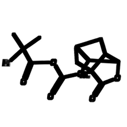 CCC(C)(C)C(=O)OC(=O)OC1C2CC3C1OC(=O)C3(C#N)C2